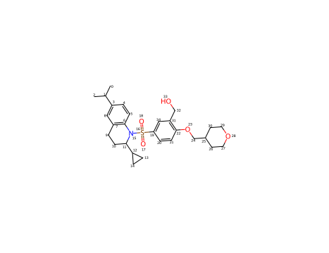 CC(C)c1ccc2c(c1)CCC(C1CC1)N2S(=O)(=O)c1ccc(OCC2CCOCC2)c(CO)c1